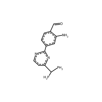 Nc1cc(-c2nccc(C(P)P)n2)ccc1C=O